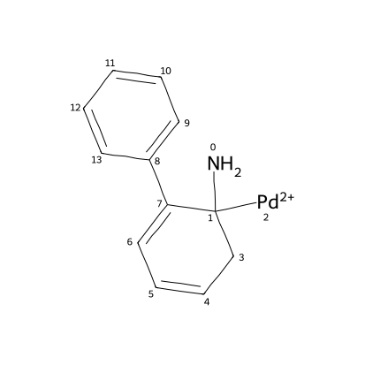 N[C]1([Pd+2])CC=CC=C1c1ccccc1